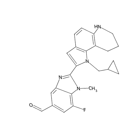 Cn1c(-c2cc3ccc4c(c3n2CC2CC2)CCCN4)nc2cc(C=O)cc(F)c21